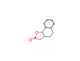 O=C1CC2CCc3ccccc3C2O1